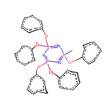 CP1(Oc2ccccc2)=NP(Oc2ccccc2)(Oc2ccccc2)=NP(Oc2ccccc2)(Oc2ccccc2)=N1